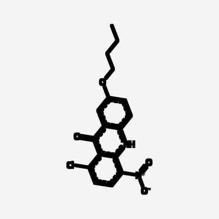 CCCCOc1ccc2[nH]c3c([N+](=O)[O-])ccc(Cl)c3c(=O)c2c1